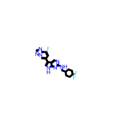 Fc1cc(-c2c[nH]c3nc(NCC4CCC(F)(F)CC4)ncc23)cn2ncnc12